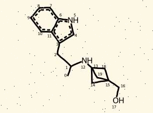 CC(Cc1c[nH]c2ccccc12)NC12CC(CO)(C1)C2